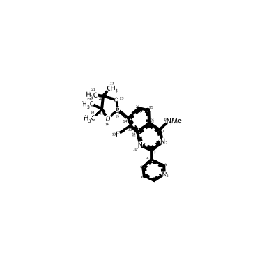 CNc1nc(-c2cccnc2)nc2c(F)c(B3OC(C)(C)C(C)(C)O3)ccc12